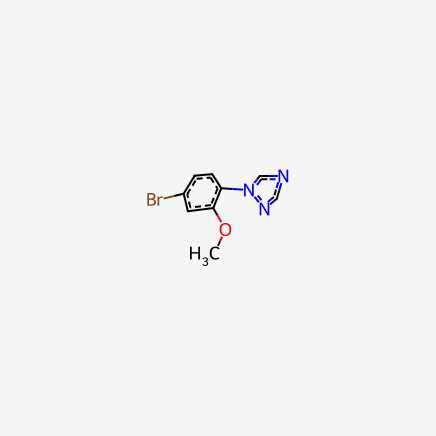 COc1cc(Br)ccc1-n1cncn1